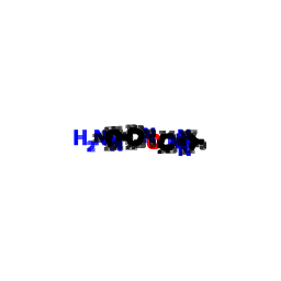 Cc1cnc(N2CCC(ON=C3CCC(c4ccc(N)cn4)CC3)CC2)nc1